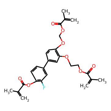 C=C(C)C(=O)OCCOc1cc(-c2ccc(OC(=O)C(=C)C)c(F)c2)ccc1OCOC(=O)C(=C)C